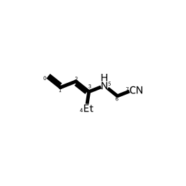 C=C/C=C(\CC)NCC#N